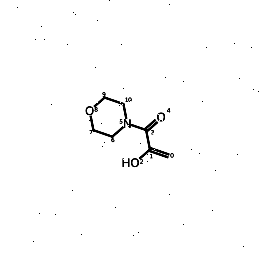 C=C(O)C(=O)N1CCOCC1